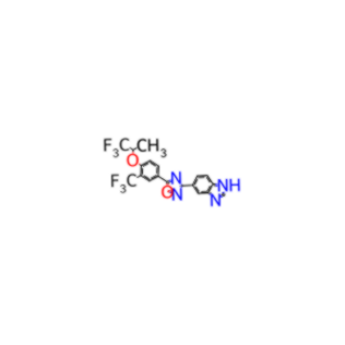 CC(Oc1ccc(-c2nc(-c3ccc4[nH]cnc4c3)no2)cc1C(F)(F)F)C(F)(F)F